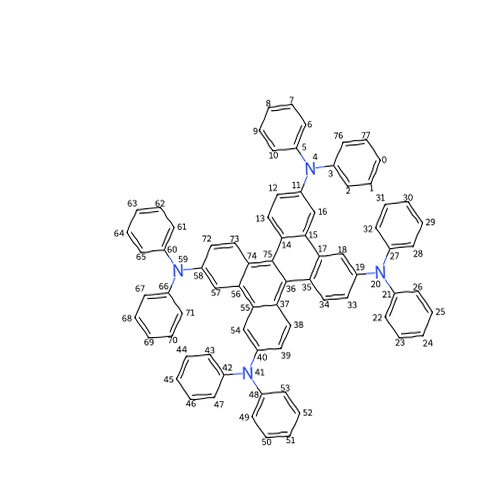 c1ccc(N(c2ccccc2)c2ccc3c(c2)c2cc(N(c4ccccc4)c4ccccc4)ccc2c2c4ccc(N(c5ccccc5)c5ccccc5)cc4c4cc(N(c5ccccc5)c5ccccc5)ccc4c32)cc1